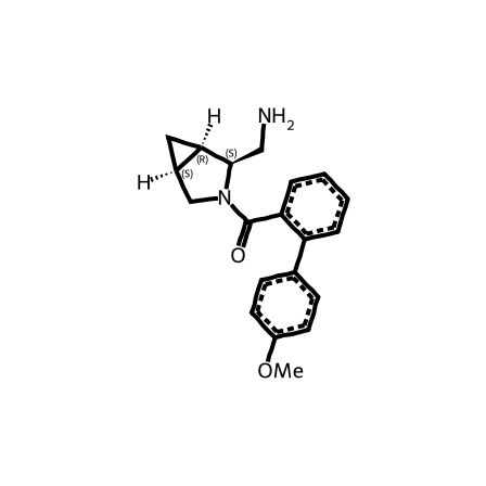 COc1ccc(-c2ccccc2C(=O)N2C[C@H]3C[C@H]3[C@H]2CN)cc1